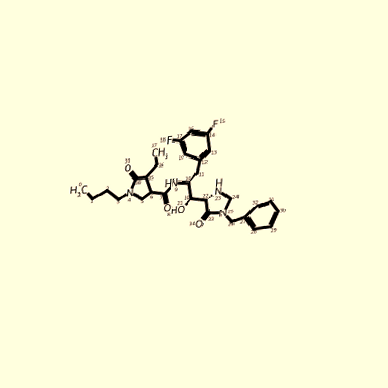 CCCCN1CC(C(=O)N[C@@H](Cc2cc(F)cc(F)c2)[C@H](O)[C@@H]2NCN(Cc3ccccc3)C2=O)C(CC)C1=O